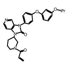 C=CC(=O)N1CCCC(n2c(=O)n(-c3ccc(Oc4cccc(OC(C)C)c4)cc3)c3cnccc32)C1